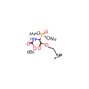 COP(=O)(OC)C(NC(=O)OC(C)(C)C)C(=O)OCC[SiH](C)C